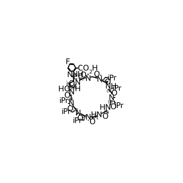 CC[C@@H]1NC(=O)[C@H]([C@H](O)[C@H](C)Cc2nc3cc(F)cc(C(=O)O)c3[nH]2)N(C)C(=O)[C@H](C(C)C)N(C)C(=O)[C@H](CC(C)C)N(C)C(=O)[C@H](CC(C)C)N(C)C(=O)[C@@H](C)NC(=O)[C@H](C)NC(=O)[C@H](CC(C)C)N(C)C(=O)[C@H](C(C)C)NC(=O)[C@H](CC(C)C)N(C)C(=O)CN(C)C1=O